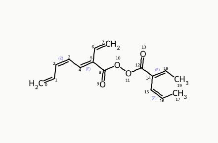 C=C/C=C\C=C(/C=C)C(=O)OOC(=O)C(/C=C\C)=C/C